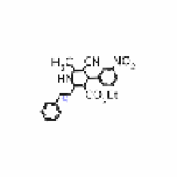 CCOC(=O)C1=C(/C=C/c2ccccc2)NC(C)=C(C#N)C1c1cccc([N+](=O)[O-])c1